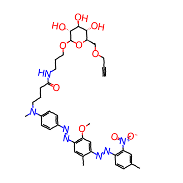 C#CCOC[C@H]1O[C@@H](OCCCNC(=O)CCCN(C)c2ccc(/N=N/c3cc(C)c(/N=N/c4ccc(C)cc4[N+](=O)[O-])cc3OC)cc2)[C@H](O)[C@@H](O)[C@@H]1O